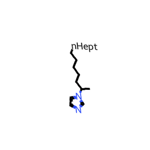 CCCCCCCCCCCCC(C)n1ccnc1